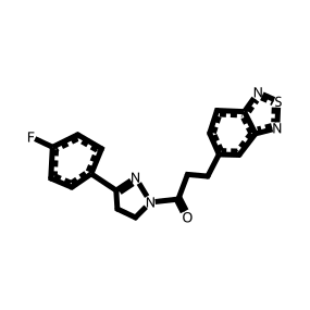 O=C(CCc1ccc2nsnc2c1)N1CCC(c2ccc(F)cc2)=N1